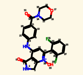 O=C1NCc2c1c(Nc1ccc(C(=O)N3CCOCC3)cc1)cc(-c1c(F)cccc1F)[n+]2O